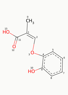 CC(=COc1ccccc1O)C(=O)O